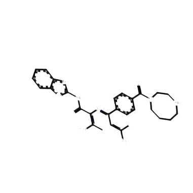 CC/C(C)=C/C(=N\C(C(=O)Nc1nc2ccccc2o1)=C(/C)N)c1ccc(C(=O)N2CCCCNCC2)cc1